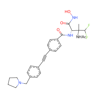 CC(=O)NC(C)(C(F)F)[C@H](NC(=O)c1ccc(C#Cc2ccc(CN3CCCC3)cc2)cc1)C(=O)NO